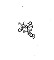 CC(C)CC(=O)N(NC(=O)CN1CCCC1)[C@@H](Cc1ccccc1)[C@H](O)CNC(C(C)C)S(=O)(=O)c1ccc2c(c1)CCO2